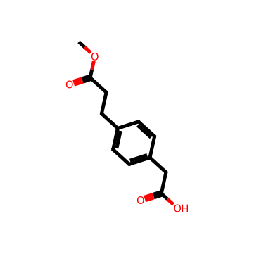 COC(=O)CCc1ccc(CC(=O)O)cc1